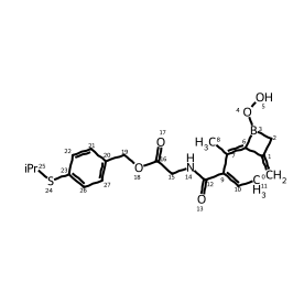 C=C1CB(OO)/C1=C(C)/C(=C\C)C(=O)NCC(=O)OCc1ccc(SC(C)C)cc1